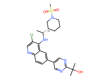 CC(Nc1c(Cl)cnc2ccc(-c3cnc(C(C)(C)O)nc3)cc12)[C@H]1CCCN(S(C)(=O)=O)C1